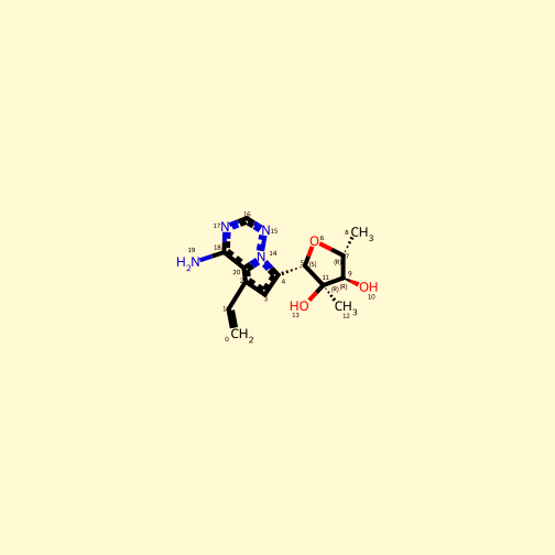 C=Cc1cc([C@@H]2O[C@H](C)[C@@H](O)[C@@]2(C)O)n2ncnc(N)c12